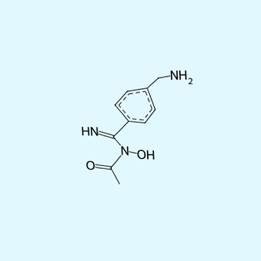 CC(=O)N(O)C(=N)c1ccc(CN)cc1